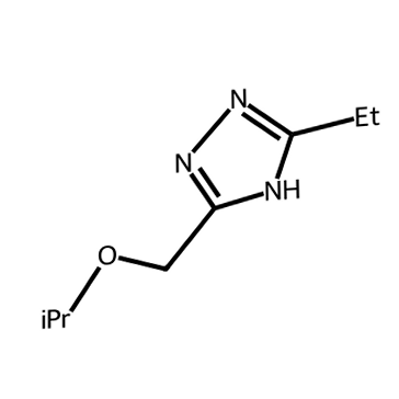 CCc1nnc(COC(C)C)[nH]1